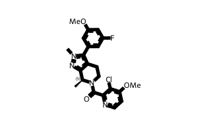 COc1cc(F)cc(-c2c3c(nn2C)[C@H](C)N(C(=O)c2nccc(OC)c2Cl)CC3)c1